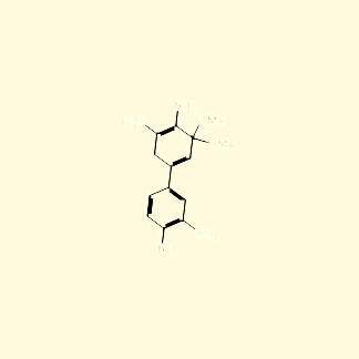 COC1(OC)C=C(c2ccc(N)c(C)c2)CC(C)=C1N